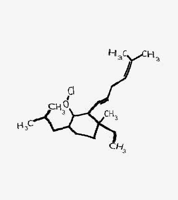 CCC1(C)CCC(CC(C)C)C(OCl)C1/C=C/CC=C(C)C